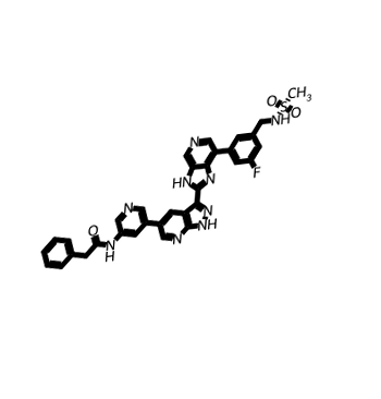 CS(=O)(=O)NCc1cc(F)cc(-c2cncc3[nH]c(-c4n[nH]c5ncc(-c6cncc(NC(=O)Cc7ccccc7)c6)cc45)nc23)c1